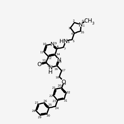 CN1CCC(CNCc2nccc3c(=O)[nH]c(CCOc4ccc(Cc5ccccc5)cc4)nc23)C1